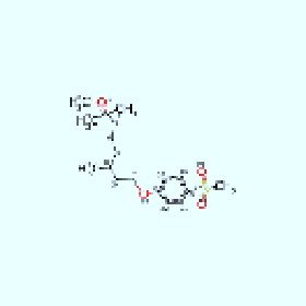 COC(C)(C)CCCC(C)CCOc1ccc(S(C)(=O)=O)cc1